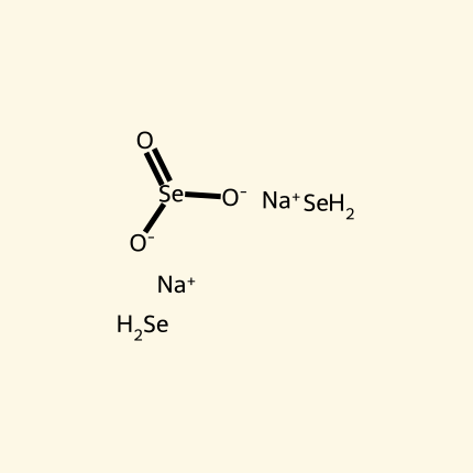 O=[Se]([O-])[O-].[Na+].[Na+].[SeH2].[SeH2]